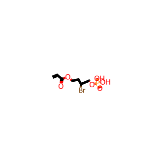 C=CC(=O)OCCC(Br)COP(=O)(O)O